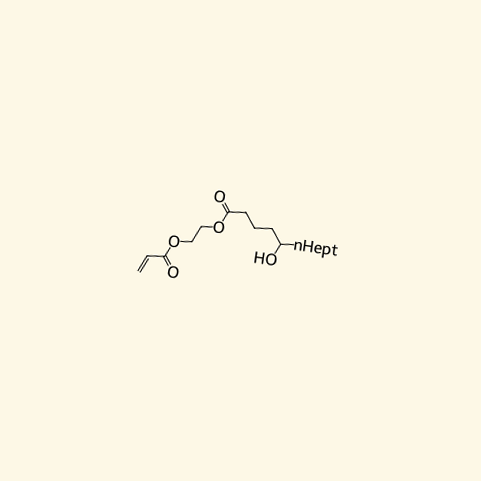 C=CC(=O)OCCOC(=O)CCCC(O)CCCCCCC